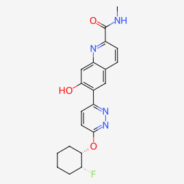 CNC(=O)c1ccc2cc(-c3ccc(O[C@H]4CCCC[C@H]4F)nn3)c(O)cc2n1